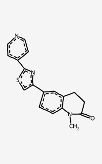 CN1C(=O)CCc2cc(-c3csc(-c4ccncc4)n3)ccc21